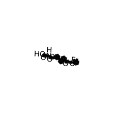 Cc1cccc(OCCCC(=O)N2CCCc3c(-c4cccc(COC(=O)NCCC(=O)O)c4)cccc32)c1F